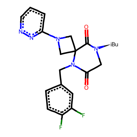 CC[C@H](C)N1CC(=O)N(Cc2ccc(F)c(F)c2)C2(CN(c3cccnn3)C2)C1=O